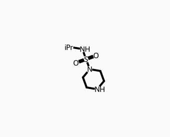 CC(C)NS(=O)(=O)N1CCNCC1